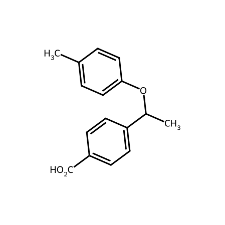 Cc1ccc(OC(C)c2ccc(C(=O)O)cc2)cc1